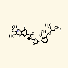 CCC(CC)OCc1cccc(-c2csc(NC(=O)c3cc(F)c(/C=C(/OC)C(=O)O)c(F)c3)n2)c1OC